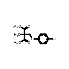 COC(=O)C(C)(COc1ccc(Cl)cc1)C(=O)OC